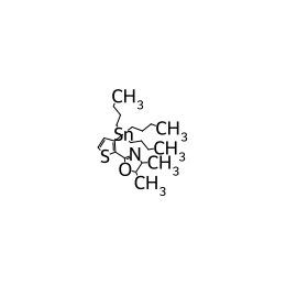 CCC[CH2][Sn]([CH2]CCC)([CH2]CCC)[c]1ccsc1C1=NC(C)C(C)O1